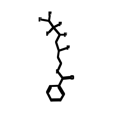 O=C(SCCC(F)CC(F)C(F)(F)C(F)F)c1ccccc1